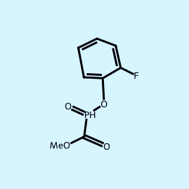 COC(=O)[PH](=O)Oc1ccccc1F